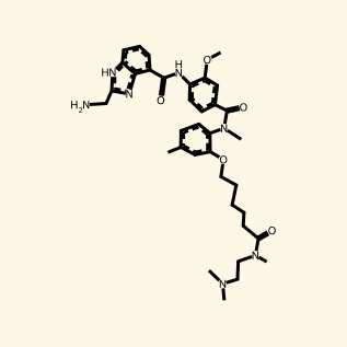 COc1cc(C(=O)N(C)c2ccc(C)cc2OCCCCCC(=O)N(C)CCN(C)C)ccc1NC(=O)c1cccc2[nH]c(CN)nc12